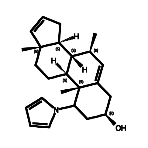 C[C@H]1C=C2C[C@@H](O)CC(n3cccc3)[C@]2(C)[C@H]2CC[C@]3(C)C=CC[C@H]3[C@H]12